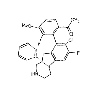 COc1ccc(C(N)=O)c(-c2c(Cl)c(F)cc3c2C[C@]2(c4ccccc4)CNCCN32)c1F